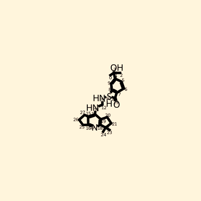 CC(C)(O)c1ccc2c(c1)[SH](NCNc1c3c(nc4c1CCC4(C)C)CCC3)C2=O